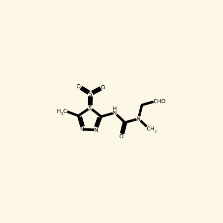 CC1=NN=C(NC(=O)N(C)CC=O)S1=S(=O)=O